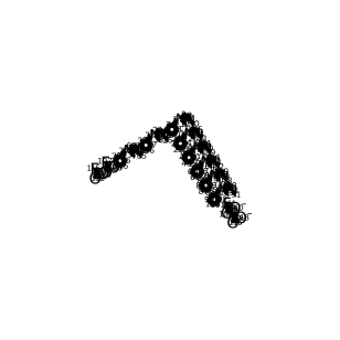 Cn1cc[n+](Cc2ccccc2)c1.Cn1cc[n+](Cc2ccccc2)c1.Cn1cc[n+](Cc2ccccc2)c1.Cn1cc[n+](Cc2ccccc2)c1.Cn1cc[n+](Cc2ccccc2)c1.Cn1cc[n+](Cc2ccccc2)c1.Cn1cc[n+](Cc2ccccc2)c1.Cn1cc[n+](Cc2ccccc2)c1.[O-]B([O-])F.[O-]B([O-])F.[O-]B([O-])F.[O-]B([O-])F